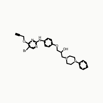 C#CCOc1nc(Nc2ccc(OCC(O)CN3CCN(c4ccccc4)CC3)cc2)ncc1Br